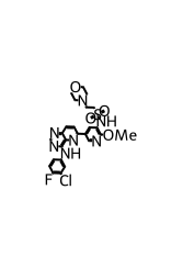 COc1ncc(-c2ccc3ncnc(Nc4ccc(F)c(Cl)c4)c3n2)cc1NS(=O)(=O)CCN1CCOCC1